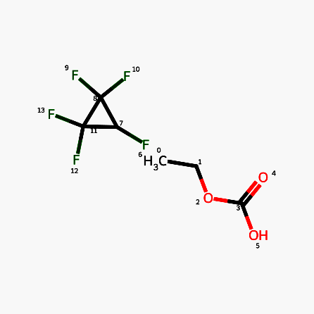 CCOC(=O)O.FC1C(F)(F)C1(F)F